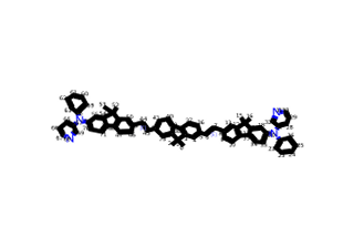 CC1(C)c2cc(/C=C/c3ccc4c(c3)C(C)(C)c3cc(N(c5ccccc5)c5cccnc5)ccc3-4)ccc2-c2ccc(/C=C/c3ccc4c(c3)C(C)(C)c3cc(N(c5ccccc5)c5cccnc5)ccc3-4)cc21